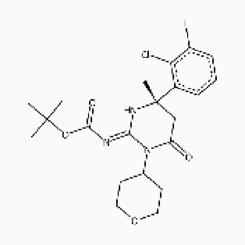 CC(C)(C)OC(=O)/N=C1\N[C@](C)(c2cccc(I)c2Cl)CC(=O)N1C1CCOCC1